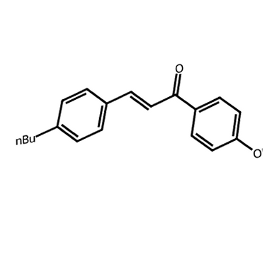 CCCCc1ccc(C=CC(=O)c2ccc(O)cc2)cc1